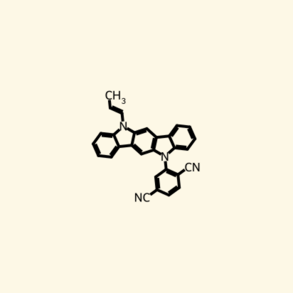 C/C=C/n1c2ccccc2c2cc3c(cc21)c1ccccc1n3-c1cc(C#N)ccc1C#N